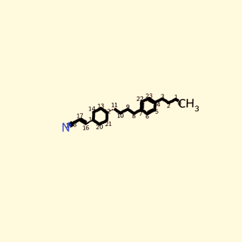 CCCCc1ccc(CCCC[C@H]2CC[C@H](C=CC#N)CC2)cc1